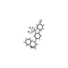 CC(=O)ON=C(c1ccc2c(c1)C(C)(C)c1cc(Cl)ccc1-2)c1ccccc1C